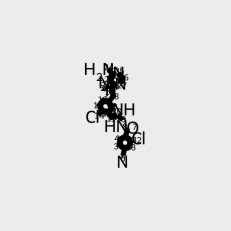 N#Cc1ccc(C(=O)NCc2cc3c(Cl)ccc(Cn4cnc5c(N)ncnc54)c3[nH]2)c(Cl)c1